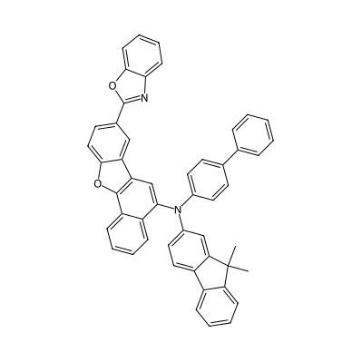 CC1(C)c2ccccc2-c2ccc(N(c3ccc(-c4ccccc4)cc3)c3cc4c5cc(-c6nc7ccccc7o6)ccc5oc4c4ccccc34)cc21